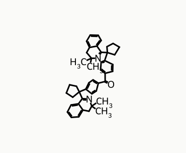 CC1(C)Cc2ccccc2C(C2(c3ccc(C(=O)c4ccc(C5(C6=NC(C)(C)Cc7ccccc76)CCCC5)cc4)cc3)CCCC2)=N1